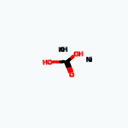 O=C(O)O.[KH].[Ni]